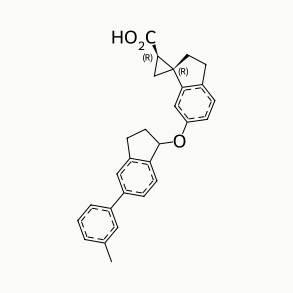 Cc1cccc(-c2ccc3c(c2)CCC3Oc2ccc3c(c2)[C@]2(CC3)C[C@H]2C(=O)O)c1